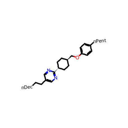 CCCCCCCCCCCCc1cnc([C@H]2CC[C@H](COc3ccc(CCCCC)cc3)CC2)nc1